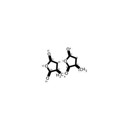 C=C1CC(=O)OC1=O.C=C1CC(=O)OC1=O